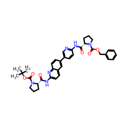 CC(C)(C)OC(=O)N1CCC[C@H]1C(=O)Nc1ccc2cc(-c3ccc(NC(=O)[C@@H]4CCCN4C(=O)OCc4ccccc4)nc3)ccc2n1